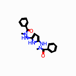 CN(Nc1ccc(NN(C)C(=O)c2ccccc2)[nH]1)C(=O)c1ccccc1